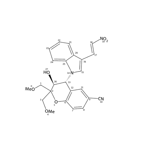 COCC1(COC)Oc2ccc(C#N)cc2[C@@H](n2cc(/C=C/[N+](=O)[O-])c3ccccc32)[C@@H]1O